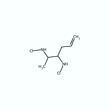 C=CCC(NCl)C(C)NCl